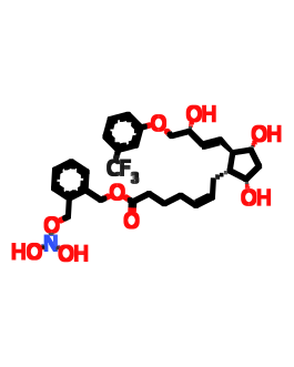 O=C(CCC/C=C\C[C@@H]1[C@@H](/C=C/[C@@H](O)COc2cccc(C(F)(F)F)c2)[C@H](O)C[C@@H]1O)OCc1ccccc1CON(O)O